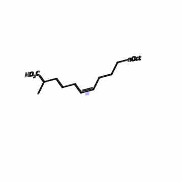 CCCCCCCCCCC/C=C\CCCC(C)C(=O)O